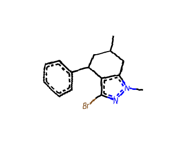 CC1Cc2c(c(Br)nn2C)C(c2ccccc2)C1